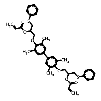 C=CC(=O)OC(COc1c(C)cc(-c2cc(C)c(OCC(CSc3ccccc3)OC(=O)C=C)c(C)c2)cc1C)CSc1ccccc1